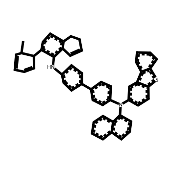 CC1C=CC=CC1c1ccc2c(c1Nc1ccc(-c3ccc(N(c4ccc5sc6ccccc6c5c4)c4cccc5ccccc45)cc3)cc1)C=CCC2